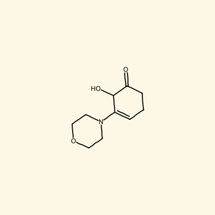 O=C1CCC=C(N2CCOCC2)C1O